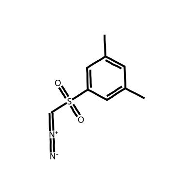 Cc1cc(C)cc(S(=O)(=O)C=[N+]=[N-])c1